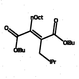 CCCCCCCCC(C(=O)OCC(C)C)=C(CC(C)C)C(=O)OCC(C)C